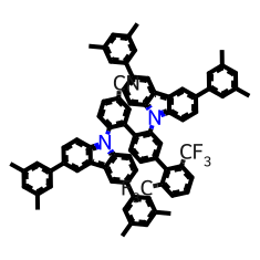 Cc1cc(C)cc(-c2ccc3c(c2)c2cc(-c4cc(C)cc(C)c4)ccc2n3-c2ccc(C#N)cc2-c2ccc(-c3c(C(F)(F)F)cccc3C(F)(F)F)cc2-n2c3ccc(-c4cc(C)cc(C)c4)cc3c3cc(-c4cc(C)cc(C)c4)ccc32)c1